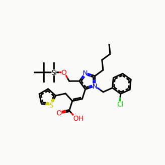 CCCCc1nc(CO[Si](C)(C)C(C)(C)C)c(C=C(Cc2cccs2)C(=O)O)n1Cc1ccccc1Cl